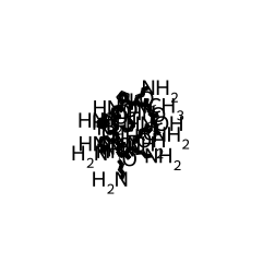 C[C@H](NC(=O)[C@@H](NC(=O)C[C@@H](O)CN)[C@@H](O)CN)C(=O)/N=C(\CCCN)C(=O)N1CCC[C@H]1C(=O)N[C@@H](Cc1cnc[nH]1)C(=O)N[C@@H](CCCCN)C(=O)N/C(=C\CCNC(=N)N)C(=O)N[C@@H](CCCCN)C(=O)NCCCCN